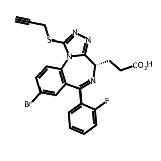 C#CCSc1nnc2n1-c1ccc(Br)cc1C(c1ccccc1F)=N[C@H]2CCC(=O)O